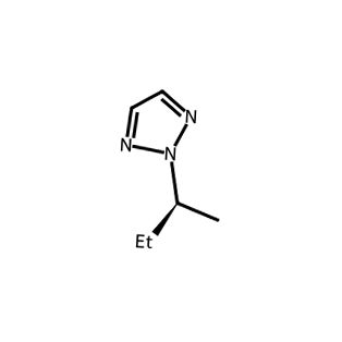 CC[C@H](C)n1nccn1